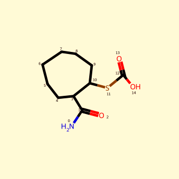 NC(=O)C1CCCCCCC1SC(=O)O